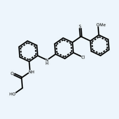 COc1ccccc1C(=S)c1ccc(Nc2ccccc2NC(=O)CO)cc1Cl